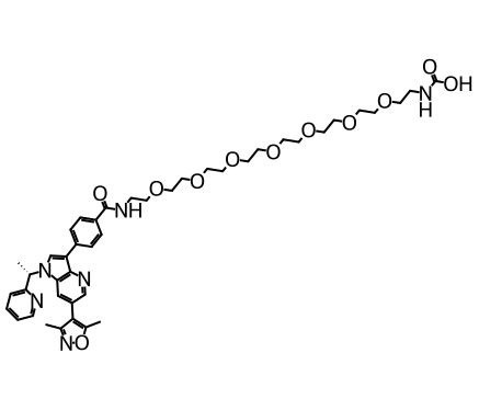 Cc1noc(C)c1-c1cnc2c(-c3ccc(C(=O)NCCOCCOCCOCCOCCOCCOCCOCCNC(=O)O)cc3)cn([C@@H](C)c3ccccn3)c2c1